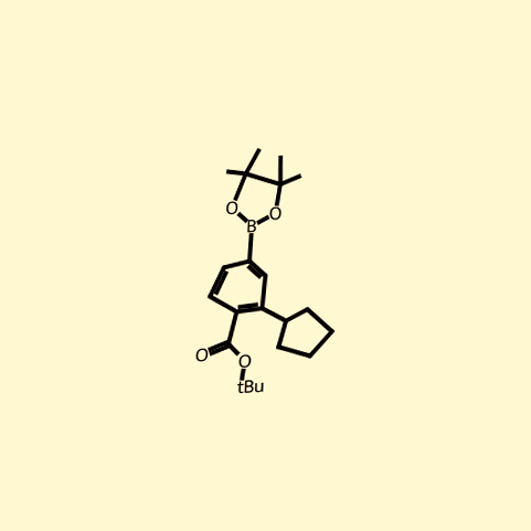 CC(C)(C)OC(=O)c1ccc(B2OC(C)(C)C(C)(C)O2)cc1C1CCCC1